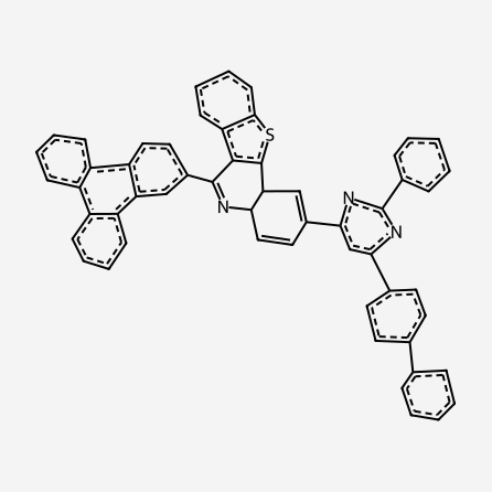 C1=CC2N=C(c3ccc4c5ccccc5c5ccccc5c4c3)c3c(sc4ccccc34)C2C=C1c1cc(-c2ccc(-c3ccccc3)cc2)nc(-c2ccccc2)n1